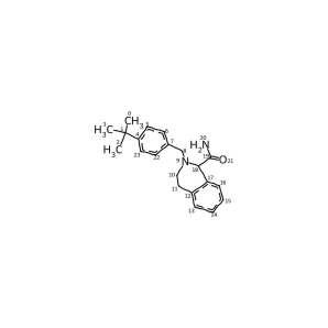 CC(C)(C)c1ccc(CN2CCc3c[c]ccc3C2C(N)=O)cc1